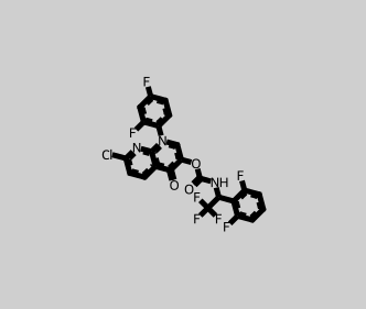 O=C(NC(c1c(F)cccc1F)C(F)(F)F)Oc1cn(-c2ccc(F)cc2F)c2nc(Cl)ccc2c1=O